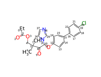 CCC(=O)OCC(C)(C)C(=O)C(Oc1ccc(-c2ccc(Cl)cc2)cc1)n1ccnc1